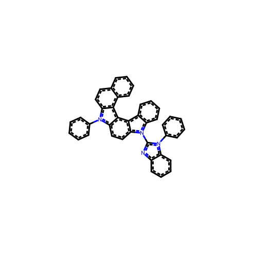 c1ccc(-n2c(-n3c4ccccc4c4c5c6c7ccccc7ccc6n(-c6ccccc6)c5ccc43)nc3ccccc32)cc1